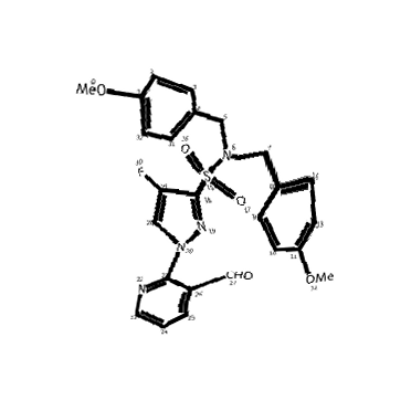 COc1ccc(CN(Cc2ccc(OC)cc2)S(=O)(=O)c2nn(-c3ncccc3C=O)cc2F)cc1